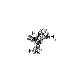 Cc1cccc2cc(N)nc(-c3c(F)cc4c(N5CC6CCC(C5)N6)nc(OC[C@@]56CCCN5C[C@H](F)C6)nc4c3F)c12